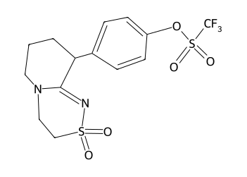 O=S1(=O)CCN2CCCC(c3ccc(OS(=O)(=O)C(F)(F)F)cc3)C2=N1